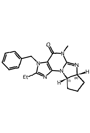 CCc1nc2c(n1Cc1ccccc1)C(=O)N(C)C1=N[C@@H]3CCC[C@@H]3N12